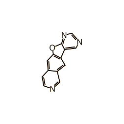 c1cc2cc3oc4ncncc4c3cc2cn1